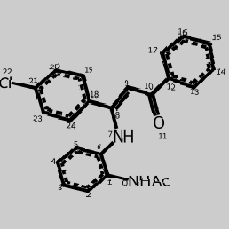 CC(=O)Nc1ccccc1N/C(=C\C(=O)c1ccccc1)c1ccc(Cl)cc1